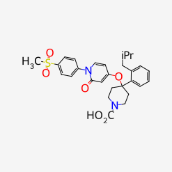 CC(C)Cc1ccccc1C1(Oc2ccn(-c3ccc(S(C)(=O)=O)cc3)c(=O)c2)CCN(C(=O)O)CC1